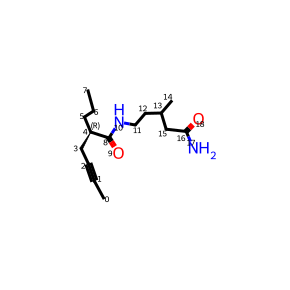 CC#CC[C@@H](CCC)C(=O)NCCC(C)CC(N)=O